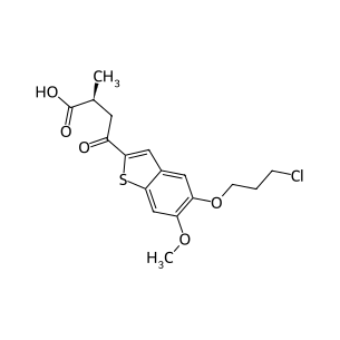 COc1cc2sc(C(=O)C[C@H](C)C(=O)O)cc2cc1OCCCCl